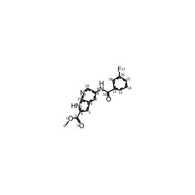 COC(=O)c1cc2cc(NC(=O)c3cccc(F)c3)cnc2[nH]1